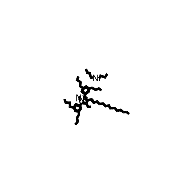 CCCCCCCCCCCCC=CC1=C(c2cc(CCCC)cc(CCCC)c2)[N+](=[N-])C(c2cc(CCCC)cc(CCCC)c2)=C1CC.CCC[CH2][Ni][CH2]CCC